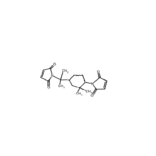 CC1(C)CC(C(C)(C)N2C(=O)C=CC2=O)CCC1N1C(=O)C=CC1=O